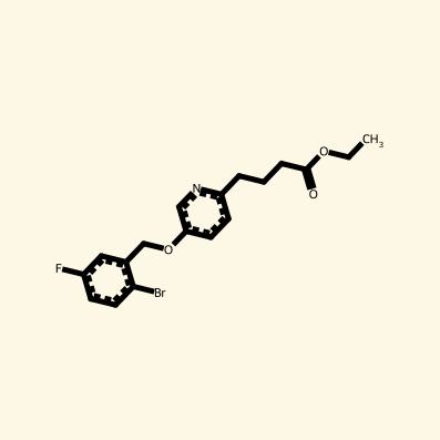 CCOC(=O)CCCc1ccc(OCc2cc(F)ccc2Br)cn1